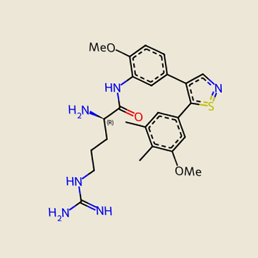 COc1ccc(-c2cnsc2-c2cc(C)c(C)c(OC)c2)cc1NC(=O)[C@H](N)CCCNC(=N)N